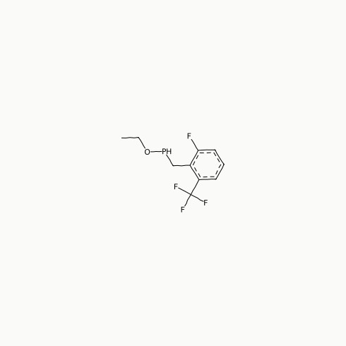 CCOPCc1c(F)cccc1C(F)(F)F